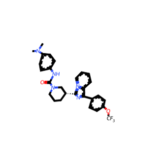 CN(C)c1ccc(NC(=O)N2CCC[C@@H](c3nc(-c4ccc(OC(F)(F)F)cc4)c4ccccn34)C2)cc1